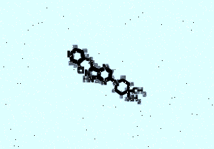 CC1(N)CCN(c2cnc3c(Sc4ccncc4Cl)n[nH]c3n2)CC1